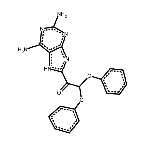 Nc1nc(N)c2[nH]c(C(=O)C(Oc3ccccc3)Oc3ccccc3)nc2n1